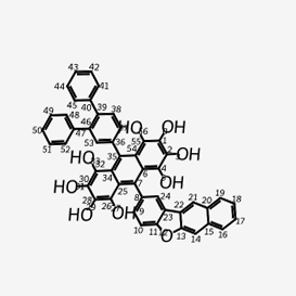 Oc1c(O)c(O)c2c(-c3ccc4oc5cc6ccccc6cc5c4c3)c3c(O)c(O)c(O)c(O)c3c(-c3ccc(-c4ccccc4)c(-c4ccccc4)c3)c2c1O